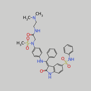 CN(C)CCNC(=O)CN(c1ccc(N/C(=C2\C(=O)Nc3ccc(S(=O)(=O)Nc4ccccc4)cc32)c2ccccc2)cc1)S(C)(=O)=O